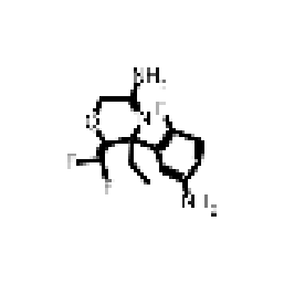 CCC1(c2cc(N)ccc2F)N=C(N)COC1=C(F)F